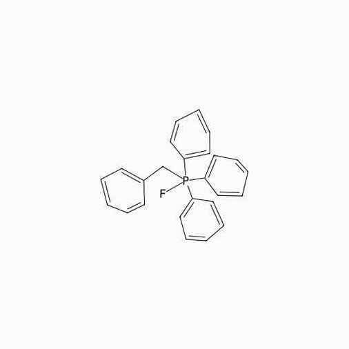 FP(Cc1ccccc1)(c1ccccc1)(c1ccccc1)c1ccccc1